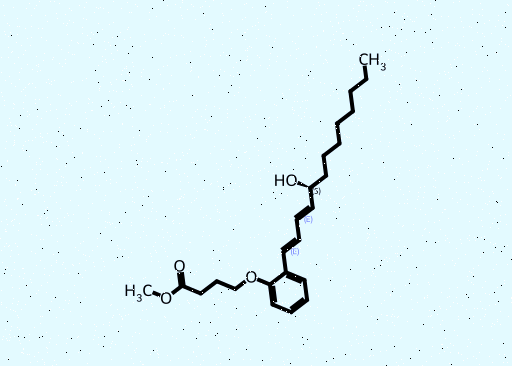 CCCCCCCC[C@H](O)/C=C/C=C/c1ccccc1OCCCC(=O)OC